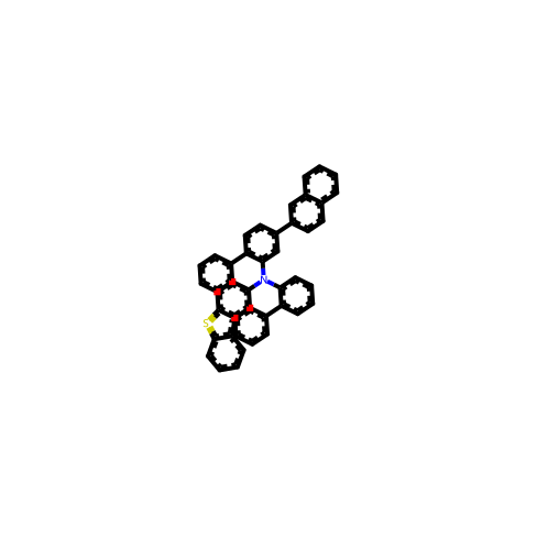 c1ccc(-c2ccccc2N(c2ccc3sc4ccccc4c3c2)c2cc(-c3ccc4ccccc4c3)ccc2-c2ccccc2)cc1